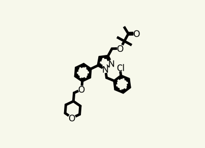 CC(=O)C(C)(C)OCc1cc(-c2cccc(OCC3CCOCC3)c2)n(Cc2ccccc2Cl)n1